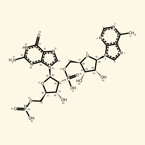 Cc1ncnc2c1ncn2[C@@H]1O[C@H](COP(=O)(O)[C@@H]2[C@H](O)[C@@H](CO[PH](=O)O)O[C@H]2n2cnc3c(=O)[nH]c(N)nc32)[C@@H](O)[C@H]1O